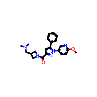 COc1ccc(-n2nc(C(=O)N3CC(CN(C)C)C3)cc2-c2ccccc2)cn1